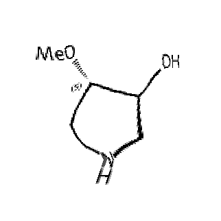 CO[C@H]1CNCC1O